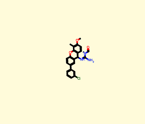 COc1ccc2c(c1C)Oc1ccc(-c3cccc(Cl)c3)cc1C2/N=C(/N)N(C)C=O